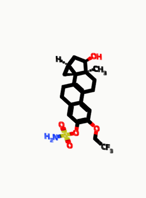 C[C@]12CCC3=C(CCc4cc(OS(N)(=O)=O)c(OCC(F)(F)F)cc43)[C@@]13C[C@H]3C[C@H]2O